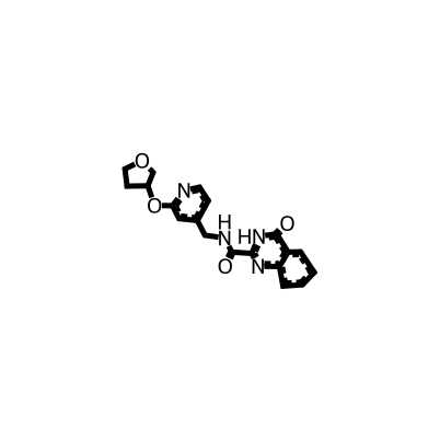 O=C(NCc1ccnc(OC2CCOC2)c1)c1nc2ccccc2c(=O)[nH]1